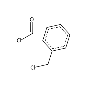 ClCc1ccccc1.O=CCl